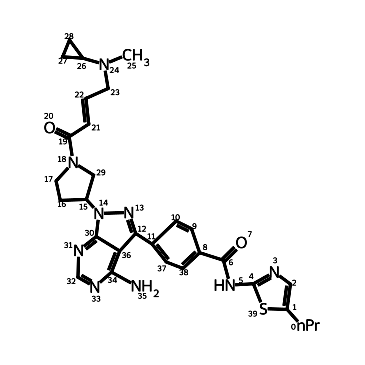 CCCc1cnc(NC(=O)c2ccc(-c3nn(C4CCN(C(=O)C=CCN(C)C5CC5)C4)c4ncnc(N)c34)cc2)s1